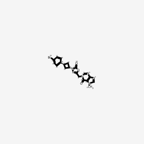 Cn1cnc2ncn(Cc3nn([C@H]4C[C@H](c5ccc(Br)cc5)C4)c(=O)o3)c(=O)c21